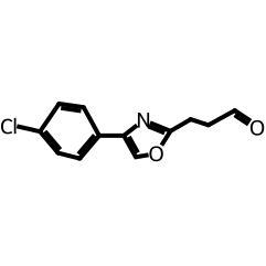 O=CCCc1nc(-c2ccc(Cl)cc2)co1